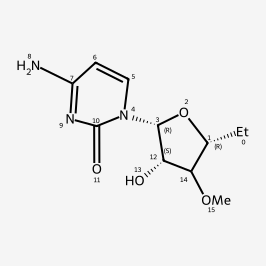 CC[C@H]1O[C@@H](n2ccc(N)nc2=O)[C@@H](O)C1OC